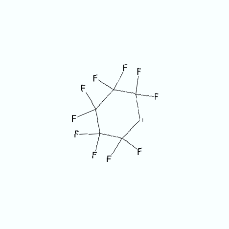 FC1(F)[C]C(F)(F)C(F)(F)C(F)(F)C1(F)F